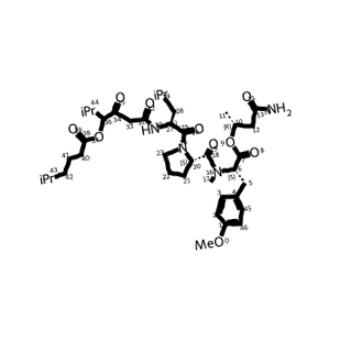 COc1ccc(C[C@@H](C(=O)O[C@H](C)CC(N)=O)N(C)C(=O)[C@@H]2CCCN2C(=O)[C@H](CC(C)C)NC(=O)CC(=O)C(OC(=O)CCCC(C)C)C(C)C)cc1